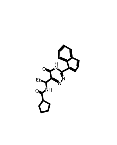 CCC(NC(=O)C1CCCC1)c1nnc(-c2cccc3ccccc23)[nH]c1=O